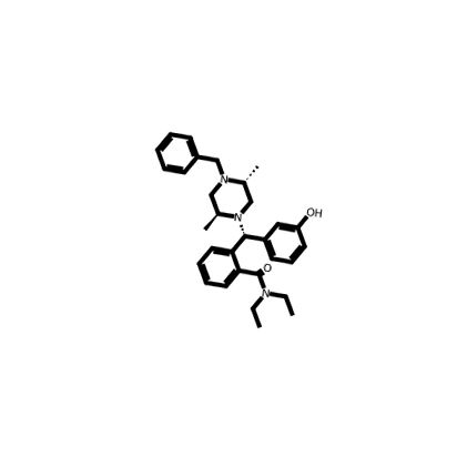 CCN(CC)C(=O)c1ccccc1[C@@H](c1cccc(O)c1)N1C[C@@H](C)N(Cc2ccccc2)C[C@@H]1C